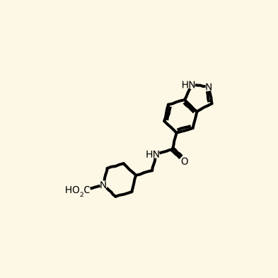 O=C(NCC1CCN(C(=O)O)CC1)c1ccc2[nH]ncc2c1